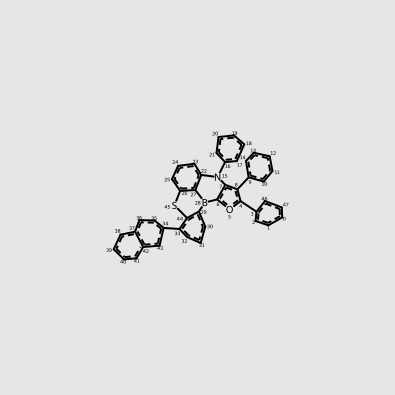 c1ccc(-c2oc3c(c2-c2ccccc2)N(c2ccccc2)c2cccc4c2B3c2cccc(-c3ccc5ccccc5c3)c2S4)cc1